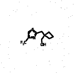 OCC1(Cc2nc(C(F)(F)F)cs2)CCC1